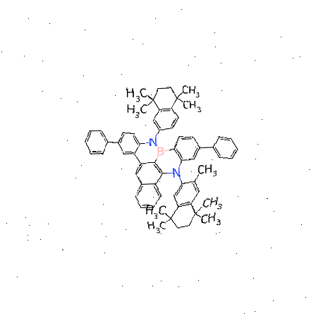 Cc1cc2c(cc1N1c3cc(-c4ccccc4)ccc3B3c4c(cc5ccccc5c41)-c1cc(-c4ccccc4)ccc1N3c1ccc3c(c1)C(C)(C)CCC3(C)C)C(C)(C)CCC2(C)C